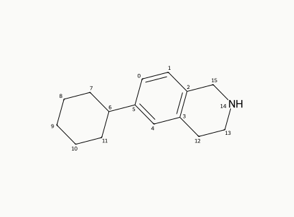 c1cc2c(cc1C1CCCCC1)CCNC2